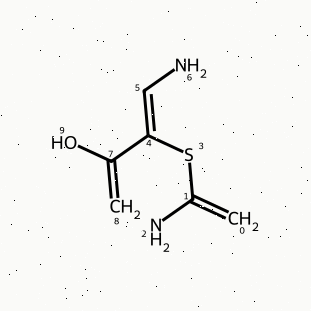 C=C(N)S/C(=C\N)C(=C)O